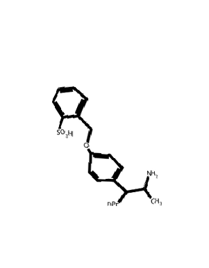 CCCC(c1ccc(OCc2ccccc2S(=O)(=O)O)cc1)C(C)N